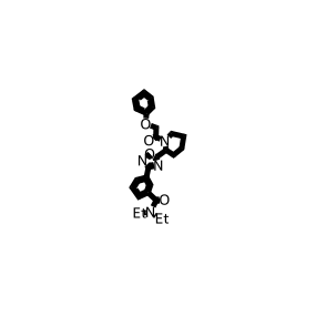 CCN(CC)C(=O)c1cccc(-c2noc(C3CCCCN3C(=O)COc3ccccc3)n2)c1